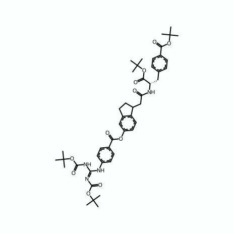 CC(C)(C)OC(=O)/N=C(/NC(=O)OC(C)(C)C)Nc1ccc(C(=O)Oc2ccc3c(c2)CCC3CC(=O)N[C@@H](Cc2ccc(C(=O)OC(C)(C)C)cc2)C(=O)OC(C)(C)C)cc1